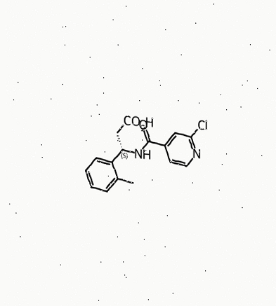 Cc1ccccc1[C@H](CC(=O)O)NC(=O)c1ccnc(Cl)c1